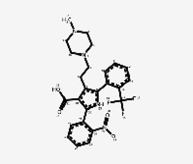 CN1CCN(CCc2c(-c3ccccc3C(F)(F)F)[nH]c(-c3ccccc3[N+](=O)[O-])c2C(=O)O)CC1